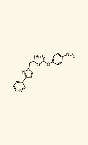 CC(C)(C)[C@@H](Cn1ccc(-c2cccnc2)n1)OC(=O)Oc1ccc([N+](=O)[O-])cc1